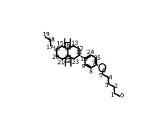 CCCCCCOc1ccc([C@@H]2CC[C@H]3C[C@@H](CCC)CC[C@@H]3C2)cc1